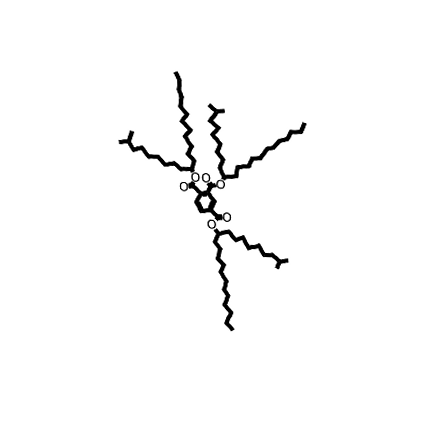 CCCCCCCCCCCCC(CCCCCCCC(C)C)OC(=O)c1ccc(C(=O)OC(CCCCCCCCCCCC)CCCCCCCC(C)C)c(C(=O)OC(CCCCCCCCCCCC)CCCCCCCC(C)C)c1